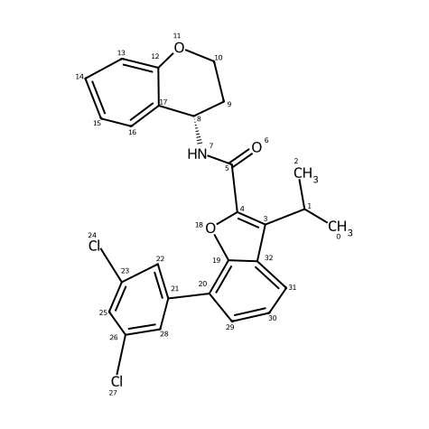 CC(C)c1c(C(=O)N[C@H]2CCOc3ccccc32)oc2c(-c3cc(Cl)cc(Cl)c3)cccc12